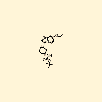 CCOc1ccn2c([C@H]3CCC[C@@H](NC(=O)OC(C)(C)C)C3)nnc2c1